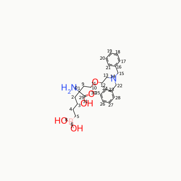 NC(CCCCB(O)O)(CCOCCN(Cc1ccccc1)Cc1ccccc1)C(=O)O